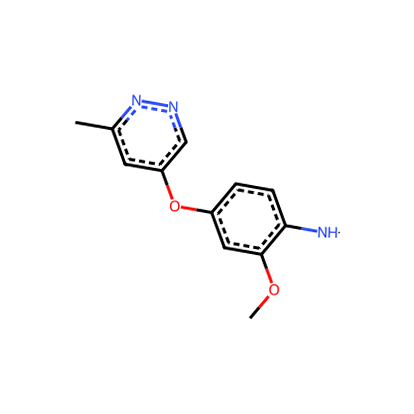 COc1cc(Oc2cnnc(C)c2)ccc1[NH]